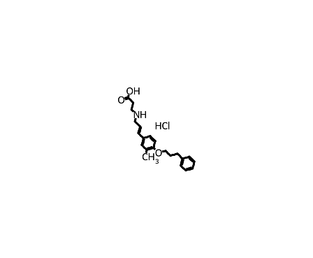 Cc1cc(C=CCNCCC(=O)O)ccc1OCCCc1ccccc1.Cl